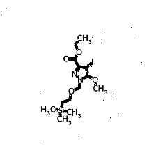 CCOC(=O)C1=NN(COCC[Si](C)(C)C)C(OC)C1I